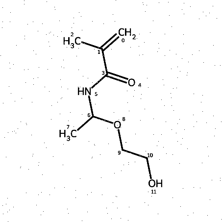 C=C(C)C(=O)NC(C)OCCO